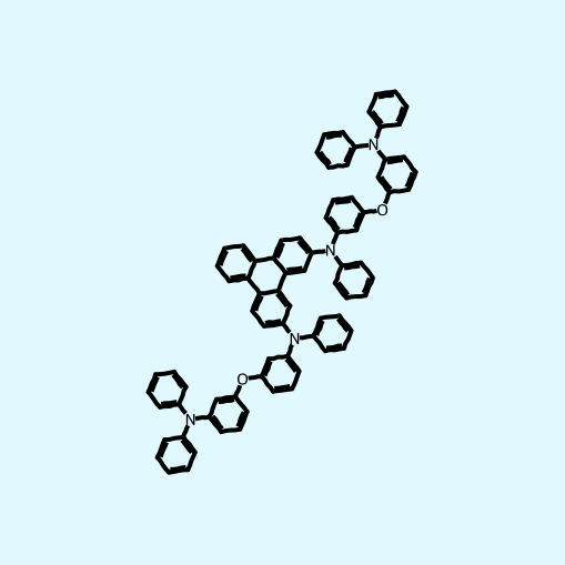 c1ccc(N(c2ccccc2)c2cccc(Oc3cccc(N(c4ccccc4)c4ccc5c6ccccc6c6ccc(N(c7ccccc7)c7cccc(Oc8cccc(N(c9ccccc9)c9ccccc9)c8)c7)cc6c5c4)c3)c2)cc1